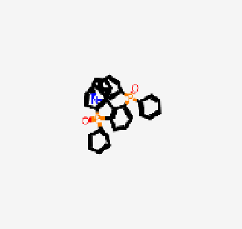 O=P(c1ccccc1)(c1ccccc1)c1cccc(P(=O)(c2ccccc2)c2ccccc2)c1-c1ccccn1